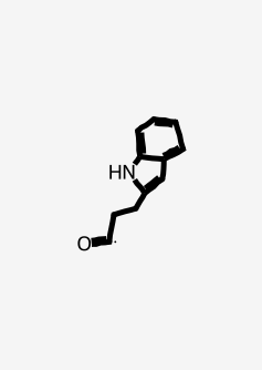 O=[C]CCc1cc2ccccc2[nH]1